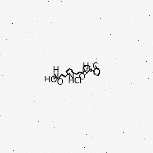 Cc1ccccc1C1CCCN(C(=O)C=Cc2cccc(C=CC(=O)NO)n2)C1.Cl